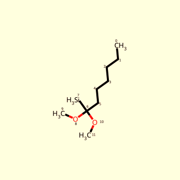 CCCCCCC([SiH3])(OC)OC